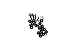 CCCCCCCC1(CCCCCCC)c2ccccc2-c2c1c1c(c3c2oc2ccccc23)-c2ccc(N(c3ccc4c(c3)C3(c5ccccc5-c5ccccc53)c3cc5c(cc3-4)C3(c4ccccc4-c4ccccc43)c3ccc4oc6ccccc6c4c3-5)c3ccc4c(c3)oc3ccccc34)cc2C1(CCCCCCC)CCCCCCC